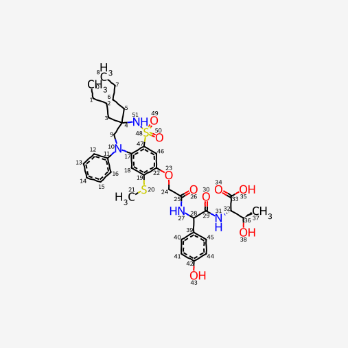 CCCCC1(CCCC)CN(c2ccccc2)c2cc(SC)c(OCC(=O)NC(C(=O)N[C@H](C(=O)O)[C@@H](C)O)c3ccc(O)cc3)cc2S(=O)(=O)N1